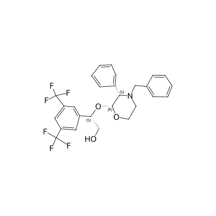 OC[C@@H](O[C@H]1OCCN(Cc2ccccc2)[C@H]1c1ccccc1)c1cc(C(F)(F)F)cc(C(F)(F)F)c1